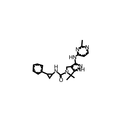 Cc1nccc(Nc2n[nH]c3c2CN(C(=O)NC2CC2c2ccccc2)C3(C)C)n1